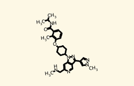 CNCc1cc2c(cn1)c(-c1cnn(C)c1)nn2C1CCC(Oc2cccc(C(=O)NC(C)C)c2C)CC1